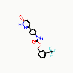 O=C(Nc1ccc(-c2ccc(=O)[nH]n2)cc1)OCc1cccc(C(F)(F)F)c1